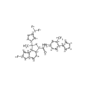 CC1(c2ccn(C(F)F)n2)CC(C(=O)Nc2cnc(-n3nccn3)c(C(F)(F)F)c2)c2cnc3cc(F)nn3c21